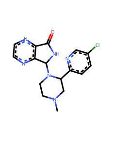 CN1CCN(C2NC(=O)c3nccnc32)C(c2ccc(Cl)cn2)C1